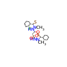 CN(NS(=O)(=O)CC(=O)NN(C)C(=S)c1ccccc1F)C(=S)c1ccccc1